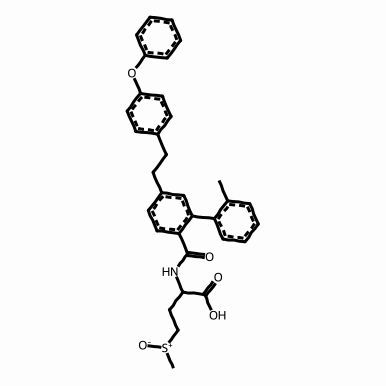 Cc1ccccc1-c1cc(CCc2ccc(Oc3ccccc3)cc2)ccc1C(=O)NC(CC[S+](C)[O-])C(=O)O